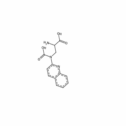 NC(CN(C(=O)O)c1ccc2ccccc2n1)C(=O)O